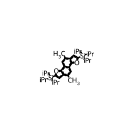 Cc1cc2c(cc(C)c3cc([Si](C(C)C)(C(C)C)C(C)C)oc32)c2oc([Si](C(C)C)(C(C)C)C(C)C)cc12